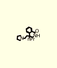 CCCC1(CCN2CCCC2)CNC(=O)c2ccccc21